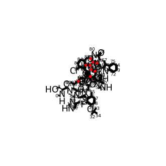 CN[C@@H](CO)C(=O)N(C)[C@H](C(=O)N(C)[C@@H](Cc1c[nH]cn1)C(=O)N[C@@H](Cc1ccc(OC(C)(C)C)c(F)c1)C(=O)N1CCC[C@H]1C(=O)N(C)[C@@H](Cc1c[nH]cn1)C(=O)N1CCC[C@H]1C(=O)N[C@@H](Cc1c[nH]c2ccccc12)C(=O)N(C)[C@@H](Cc1ccc(Cl)cc1)C(=O)N[C@@H](CC(=O)O)C(=O)N1CCC[C@H]1C(=O)O)C(C)C